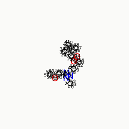 c1ccc(-c2nc(-c3ccc(-c4cccc5c4Oc4ccc6c(c4O5)-c4ccccc4C6(c4ccccc4)c4ccccc4)cc3)nc(-c3ccc4c(c3)oc3ccccc34)n2)cc1